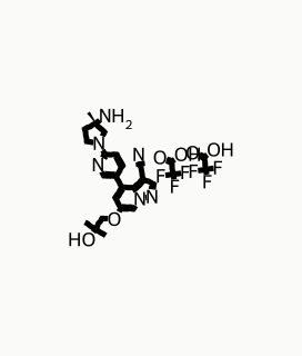 CC(C)(O)COc1cc(-c2ccc(N3CC[C@](C)(N)C3)nc2)c2c(C#N)cnn2c1.O=C(O)C(F)(F)F.O=C(O)C(F)(F)F